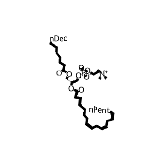 CCCCC/C=C\C/C=C\C/C=C\CCCCCCC(=O)O[C@H](COC(=O)CCCCCCCCCCCCCCCC)COP(=O)([O-])OCC[N+](C)(C)C